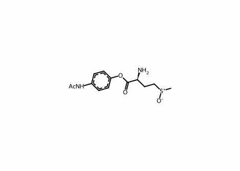 CC(=O)Nc1ccc(OC(=O)[C@@H](N)CC[S+](C)[O-])cc1